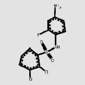 Nc1ccc(NS(=O)(=O)c2cccc(Cl)c2Cl)c(F)c1